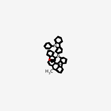 CC1C2=CC=CC3c4cccc(N(c5ccc6c7ccccc7n(-c7ccccc7)c6c5)c5cccc6ccccc56)c4C(=C4C=CC=CC41)[C@@H]23